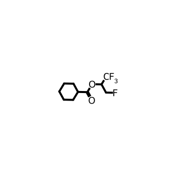 O=C(OC(CF)C(F)(F)F)C1CCCCC1